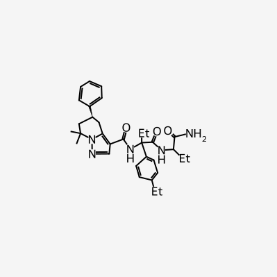 CCc1ccc(C(CC)(NC(=O)c2cnn3c2C[C@H](c2ccccc2)CC3(C)C)C(=O)NC(CC)C(N)=O)cc1